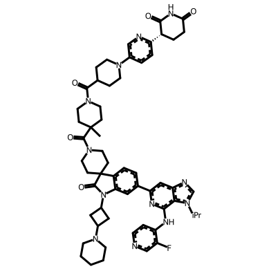 CC(C)n1cnc2cc(-c3ccc4c(c3)N(C3CC(N5CCCCC5)C3)C(=O)C43CCN(C(=O)C4(C)CCN(C(=O)C5CCN(c6ccc([C@H]7CCC(=O)NC7=O)nc6)CC5)CC4)CC3)nc(Nc3ccncc3F)c21